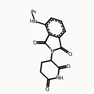 CC(C)Nc1cccc2c1C(=O)N(C1CCC(=O)NC1=O)C2=O